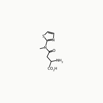 CN(C(=O)CC(N)C(=O)O)c1nccs1